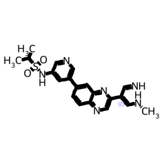 CN/C=C(\C=N)c1cnc2ccc(-c3cncc(NS(=O)(=O)C(C)C)c3)cc2n1